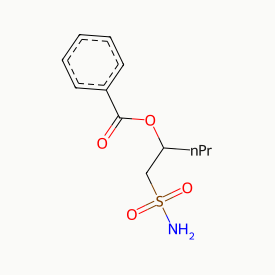 CCCC(CS(N)(=O)=O)OC(=O)c1ccccc1